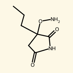 CCCC1(ON)CC(=O)NC1=O